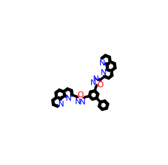 c1ccc(-c2cc(-c3nnc(-c4ccc5ccc6cccnc6c5n4)o3)cc(-c3nnc(-c4ccc5ccc6cccnc6c5n4)o3)c2)cc1